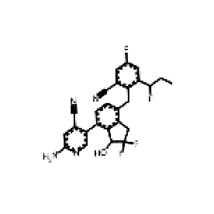 CCC(F)c1cc(F)cc(C#N)c1Cc1ccc(-c2cnc(N)cc2C#N)c2c1CC(F)(F)C2O